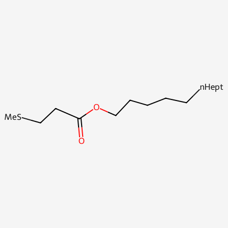 CCCCCCCCCCCCOC(=O)CCSC